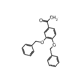 [CH2]C(=O)c1ccc(OCc2ccccc2)c(OCc2ccccc2)c1